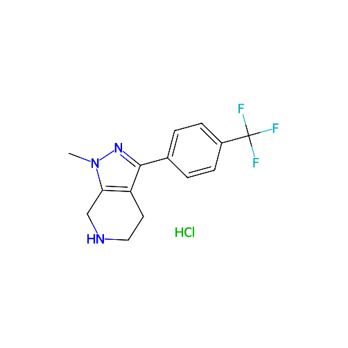 Cl.Cn1nc(-c2ccc(C(F)(F)F)cc2)c2c1CNCC2